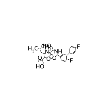 CC(C)CC(NC(=O)C(CO)NC(=O)c1ccc(F)c(-c2ccc(F)cc2)c1)C(=O)C1(CO)CO1